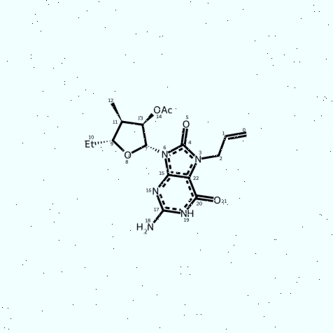 C=CCn1c(=O)n([C@@H]2O[C@H](CC)[C@@H](C)[C@H]2OC(C)=O)c2nc(N)[nH]c(=O)c21